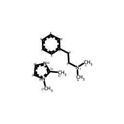 CN(C)CCc1ccccc1.Cc1nccn1C